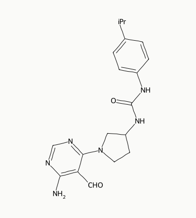 CC(C)c1ccc(NC(=O)NC2CCN(c3ncnc(N)c3C=O)C2)cc1